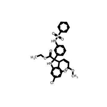 CCOC(=O)C1(c2cccc(NS(=O)(=O)c3ccccc3)c2)Nc2cc(Cl)cc(Cl)c2C1/C=C\C(=O)OC